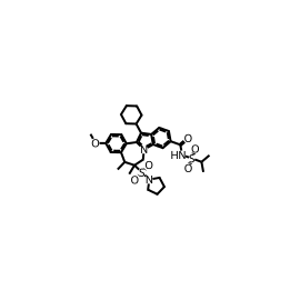 COc1ccc2c(c1)C(C)C(C)(S(=O)(=O)N1CCCC1)Cn1c-2c(C2CCCCC2)c2ccc(C(=O)NS(=O)(=O)C(C)C)cc21